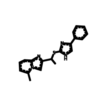 Cc1cccc2nc(C(C)Sc3nc(-c4ccccc4)c[nH]3)cn12